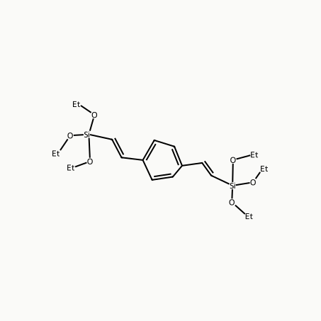 CCO[Si](/C=C/c1ccc(/C=C/[Si](OCC)(OCC)OCC)cc1)(OCC)OCC